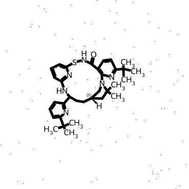 CC(C)(C)c1cccc(C2CC[C@@H]3CN(c4nc(C(C)(C)C)ccc4C(=O)NSc4cccc(n4)N2)C(C)(C)C3)n1